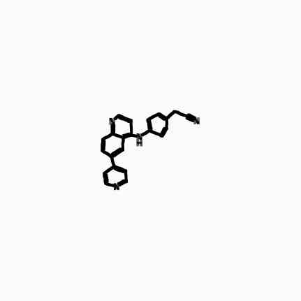 N#CCc1ccc(Nc2ccnc3ccc(-c4ccncc4)cc23)cc1